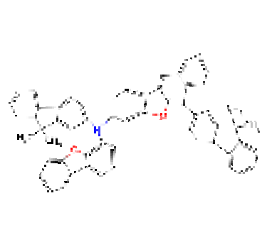 CC1(C)c2ccccc2-c2ccc(-c3c4ccccc4cc4c3oc3cc(N(c5ccc6c(c5)C(C)(C)c5ccccc5-6)c5cccc6c5oc5ccccc56)ccc34)cc21